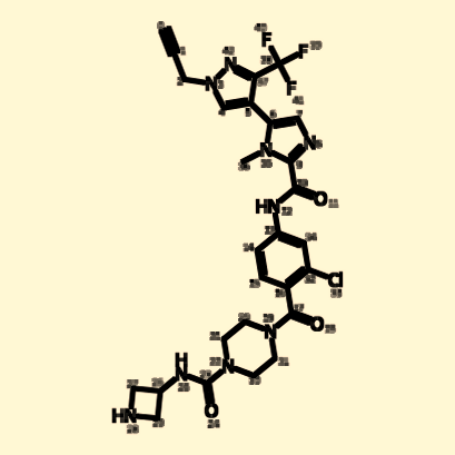 C#CCn1cc(-c2cnc(C(=O)Nc3ccc(C(=O)N4CCN(C(=O)NC5CNC5)CC4)c(Cl)c3)n2C)c(C(F)(F)F)n1